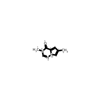 Cc1cc2c(=O)n(C)cnn2c1